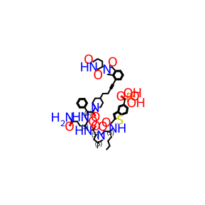 CCCC[C@H](NC(=O)c1cc2cc(C(=O)P(=O)(O)O)ccc2s1)C(=O)N1C[C@@H](C)C[C@H]1C(=O)N[C@@H](CCC(N)=O)C(=O)N[C@H](C(=O)N1CCC(CCC#Cc2cccc3c2CN(C2CCC(=O)NC2=O)C3=O)CC1)c1ccccc1